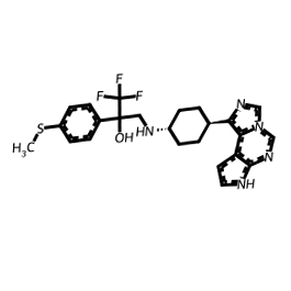 CSc1ccc(C(O)(CN[C@H]2CC[C@H](c3ncn4cnc5[nH]ccc5c34)CC2)C(F)(F)F)cc1